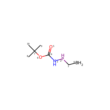 BCPNC(=O)OC(C)(C)C